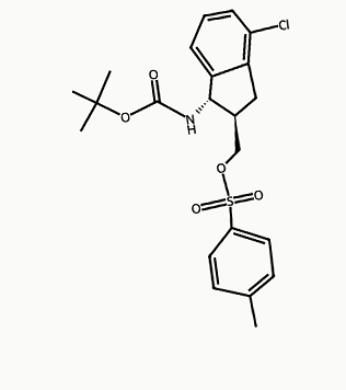 Cc1ccc(S(=O)(=O)OC[C@@H]2Cc3c(Cl)cccc3[C@H]2NC(=O)OC(C)(C)C)cc1